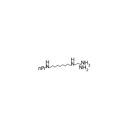 CCCNCCCCCCCCCNCCC(N)N